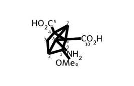 COC1C2CC3(C(=O)O)C1C3C2(N)C(=O)O